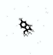 CCC1(C)C(=O)Nc2cc(Cl)ccc21